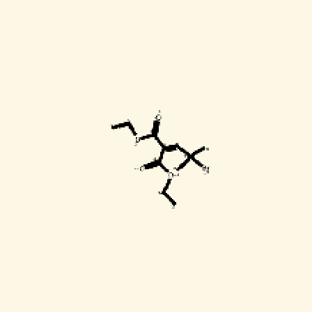 CCOC(=O)C(=CC(C)(C)Br)C(=O)OCC